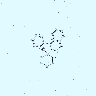 OC1(c2ccc3ccccc3c2-c2ccccc2)CCCCC1